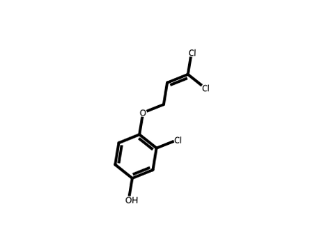 Oc1ccc(OCC=C(Cl)Cl)c(Cl)c1